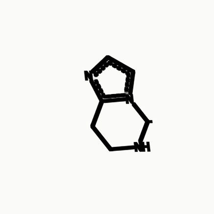 [CH]1NCCc2nccn21